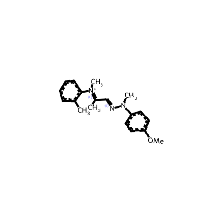 COc1ccc(N(C)/N=C/C(C)=[N+](\C)c2ccccc2C)cc1